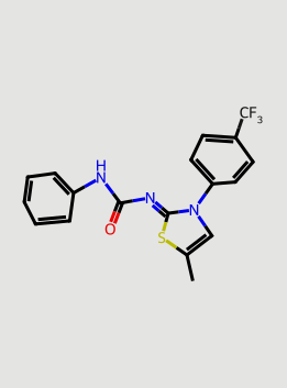 Cc1cn(-c2ccc(C(F)(F)F)cc2)c(=NC(=O)Nc2ccccc2)s1